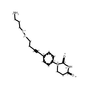 NCCCCCCCC#Cc1ccc(N2CCC(=O)NC2=O)cc1